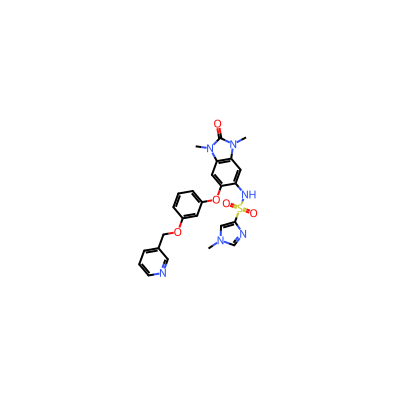 Cn1cnc(S(=O)(=O)Nc2cc3c(cc2Oc2cccc(OCc4cccnc4)c2)n(C)c(=O)n3C)c1